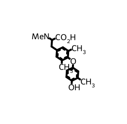 CNC(Cc1cc(C)c(Oc2ccc(O)c(C)c2)c(C)c1)C(=O)O